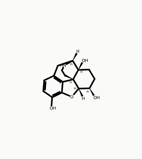 Oc1ccc2c3c1O[C@H]1[C@H](O)CC[C@@]4(O)[C@@H](C2)NCC[C@]314